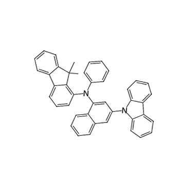 CC1(C)c2ccccc2-c2cccc(N(c3ccccc3)c3cc(-n4c5ccccc5c5ccccc54)cc4ccccc34)c21